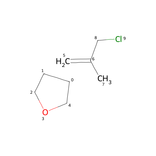 C1CCOC1.C=C(C)CCl